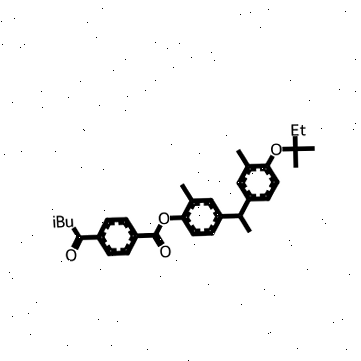 CCC(C)C(=O)c1ccc(C(=O)Oc2ccc(C(C)c3ccc(OC(C)(C)CC)c(C)c3)cc2C)cc1